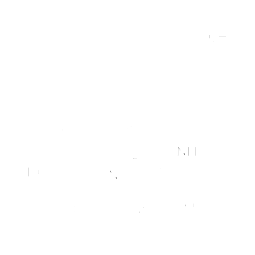 CCCCCNC(C(=O)NC([C]=O)C(C)O)C(C)O